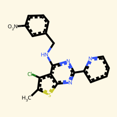 Cc1sc2nc(-c3ccccn3)nc(NCc3cccc([N+](=O)[O-])c3)c2c1Cl